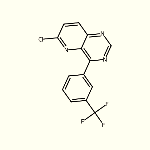 FC(F)(F)c1cccc(-c2ncnc3ccc(Cl)nc23)c1